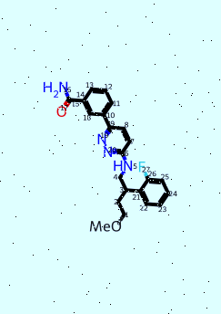 COCCC(CNc1ccc(-c2cccc(C(N)=O)c2)nn1)c1ccccc1F